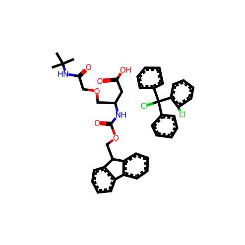 CC(C)(C)NC(=O)COCC(CC(=O)O)NC(=O)OCC1c2ccccc2-c2ccccc21.Clc1ccccc1C(Cl)(c1ccccc1)c1ccccc1